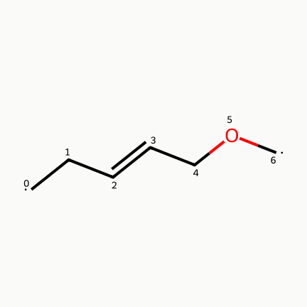 [CH2]CC=CCO[CH2]